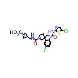 O=C(O)N1CC(CNC(=O)N2CCC3(C2)CN(C(=O)Nc2ncc(Cl)s2)c2ccc(Cl)cc23)C1